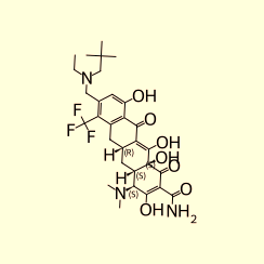 CCN(Cc1cc(O)c2c(c1C(F)(F)F)C[C@H]1C[C@H]3[C@H](N(C)C)C(O)=C(C(N)=O)C(=O)[C@@]3(O)C(O)=C1C2=O)CC(C)(C)C